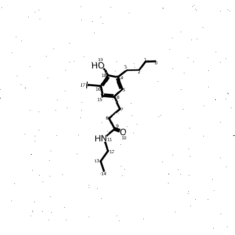 CCCCc1cc(CCC(=O)NCCC)cc(I)c1O